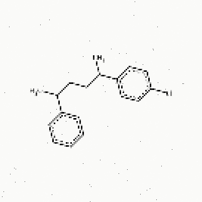 CC(CCC(C)c1ccc(Cl)cc1)c1ccccc1